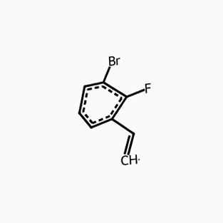 [CH]=Cc1cccc(Br)c1F